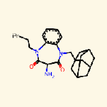 CC(C)CCN1C(=O)C(N)C(=O)N(CC23CC4CC(CC(C4)C2)C3)c2ccccc21